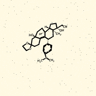 CN(C)c1ccc([C@H]2C[C@@]3(C)[C@@H](CC[C@@]3(O)CC#N)[C@@H]3CC[C@@]4(O)CC5(CCC4=C32)OCCO5)cc1